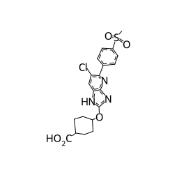 CS(=O)(=O)c1ccc(-c2nc3nc(OC4CCC(C(=O)O)CC4)[nH]c3cc2Cl)cc1